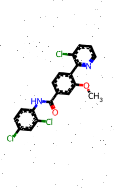 COc1cc(C(=O)Nc2ccc(Cl)cc2Cl)ccc1-c1ncccc1Cl